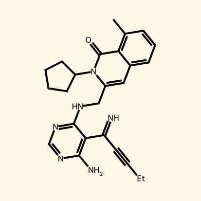 CCC#CC(=N)c1c(N)ncnc1NCc1cc2cccc(C)c2c(=O)n1C1CCCC1